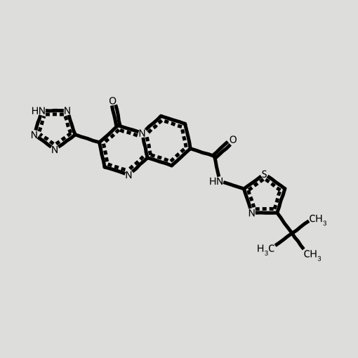 CC(C)(C)c1csc(NC(=O)c2ccn3c(=O)c(-c4nn[nH]n4)cnc3c2)n1